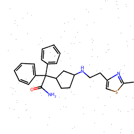 Cc1nc(CCNC2CCC(C(C(N)=O)(c3ccccc3)c3ccccc3)C2)cs1